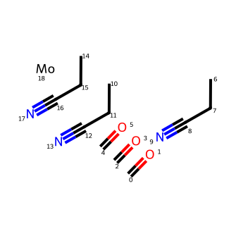 C=O.C=O.C=O.CCC#N.CCC#N.CCC#N.[Mo]